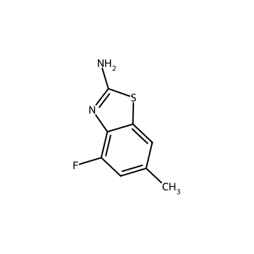 Cc1cc(F)c2nc(N)sc2c1